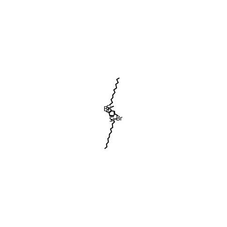 CCCCCCCCCCCC[Si](C)(C)c1cc(CBr)c([Si](C)(C)CCCCCCCCCCCC)cc1CBr